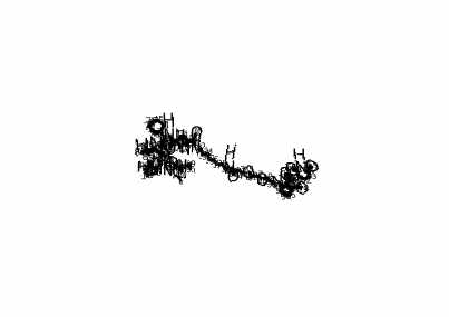 CCC[C@H](NC(=O)[C@@H]1C2CCC[C@H]2CN1C(=O)[C@@H](NC(=O)[C@@H](NC(=O)c1cnc(C(=O)NCCCCCCCCNC(=O)CCOCCOCCNc2cccc3c2C(=O)N(C2CCC(=O)NC2=O)C3=O)cn1)C1CCCCC1)C(C)(C)C)C(O)C(=O)NC1CC1